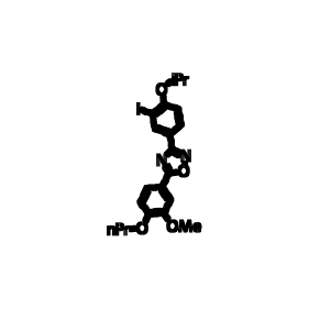 CCCOc1ccc(-c2nc(-c3ccc(OC(C)C)c(I)c3)no2)cc1OC